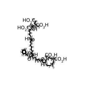 CN1CCNC(CC(=O)NCCCCC(NC(=O)CCCCCCC(=O)NCCCC[C@H](NC(=O)N[C@@H](CCC(=O)O)C(=O)O)C(=O)O)C(=O)OCc2ccccc2)CN(CC(=O)O)CCN(CC(=O)O)CC1